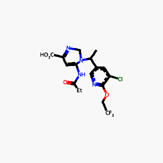 CCC(=O)NC1=CC(C(=O)O)=NCN1C(C)c1cnc(OCC(F)(F)F)c(Cl)c1